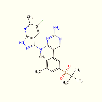 Cc1cc(-c2cnc(N)nc2N(C)c2n[nH]c3nc(C)c(F)cc23)cc(S(=O)(=O)C(C)(C)C)c1